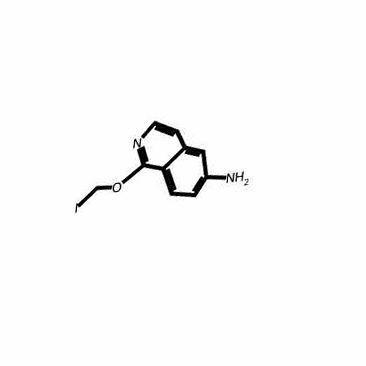 Nc1ccc2c(OCI)nccc2c1